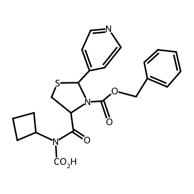 O=C(O)N(C(=O)C1CSC(c2ccncc2)N1C(=O)OCc1ccccc1)C1CCC1